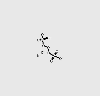 O=S(=O)([O-])OOOS(=O)(=O)[O-].[K+].[K+]